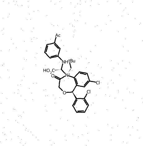 CC(=O)c1cccc(N[C@@H](C(=O)O)[N@+]2(CC(C)(C)C)C(=O)CO[C@H](c3ccccc3Cl)c3cc(Cl)ccc32)c1